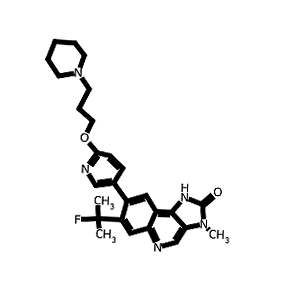 Cn1c(=O)[nH]c2c3cc(-c4ccc(OCCCN5CCCCC5)nc4)c(C(C)(C)F)cc3ncc21